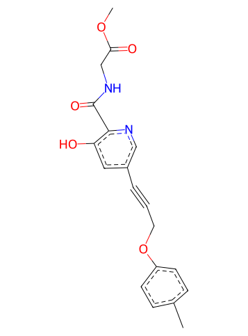 COC(=O)CNC(=O)c1ncc(C#CCOc2ccc(C)cc2)cc1O